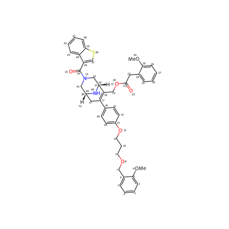 COc1ccccc1COCCCOc1ccc(C2=C(COC(=O)Cc3ccccc3OC)[C@H]3CN(C(=O)c4csc5ccccc45)C[C@@H](C2)N3)cc1